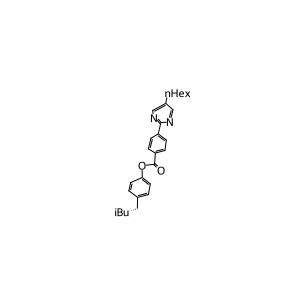 CCCCCCc1cnc(-c2ccc(C(=O)Oc3ccc(C[C@@H](C)CC)cc3)cc2)nc1